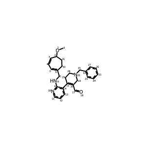 COC1C=CC=C(CNc2ncccc2C2=C(C=O)CN(Cc3ccccc3)CC2)CC1